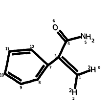 [2H]C([2H])=C(C(N)=O)c1ccccc1